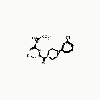 CC(C)C[C@H](NC(=O)[C@H]1O[C@@H]1C(=O)O)C(=O)N1CCN(c2cccc(Cl)c2)CC1